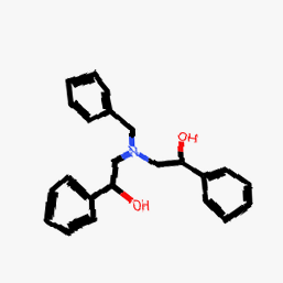 OC(CN(Cc1ccccc1)CC(O)c1ccccc1)c1ccccc1